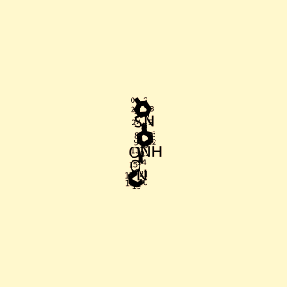 Cc1ccc2nc(-c3ccc(NC(=O)COc4ccccn4)cc3)sc2c1